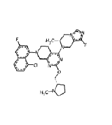 C[C@@H]1Cn2cnc(F)c2CN1c1nc(OC[C@@H]2CCCN2C)nc2c1CCN(c1cc(F)cc3cccc(Cl)c13)C2